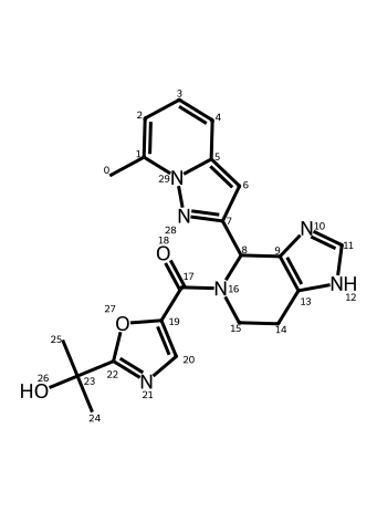 Cc1cccc2cc(C3c4nc[nH]c4CCN3C(=O)c3cnc(C(C)(C)O)o3)nn12